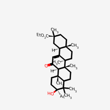 CCOC(=O)[C@@]1(C)CC[C@]2(C)CC[C@]3(C)C(=CC(=O)[C@@H]4[C@@]5(C)CC[C@@](O)(C(C)=O)C(C)(C)C5CC[C@]43C)[C@H]2C1